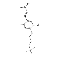 CCN(C)C=Nc1cc(Cl)c(OCCC[Si](C)(C)C)cc1C